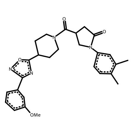 COc1cccc(-c2noc(C3CCN(C(=O)C4CC(=O)N(c5ccc(C)c(C)c5)C4)CC3)n2)c1